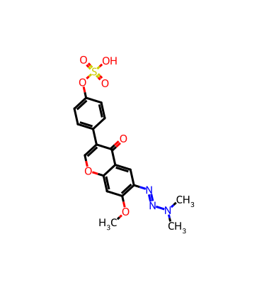 COc1cc2occ(-c3ccc(OS(=O)(=O)O)cc3)c(=O)c2cc1N=NN(C)C